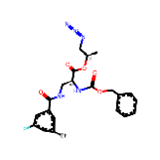 CCc1cc(F)cc(C(=O)NC[C@H](NC(=O)OCc2ccccc2)C(=O)O[C@H](C)CN=[N+]=[N-])c1